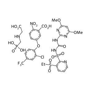 CCS(=O)(=O)c1cccnc1S(=O)(=O)NC(=O)Nc1nc(OC)cc(OC)n1.O=C(O)CNCP(=O)(O)O.O=C(O)c1cc(Oc2ccc(C(F)(F)F)cc2Cl)ccc1[N+](=O)[O-]